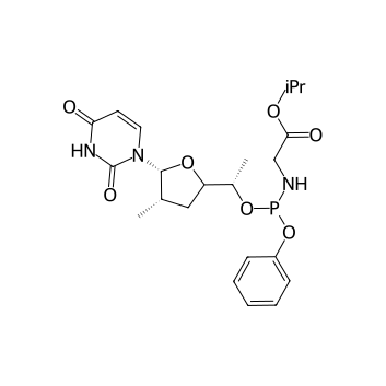 CC(C)OC(=O)CNP(Oc1ccccc1)O[C@@H](C)C1C[C@H](C)[C@H](n2ccc(=O)[nH]c2=O)O1